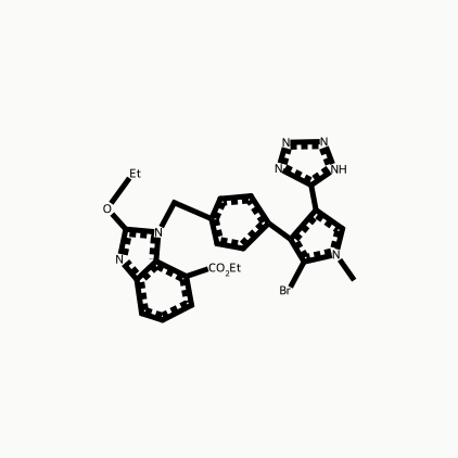 CCOC(=O)c1cccc2nc(OCC)n(Cc3ccc(-c4c(-c5nnn[nH]5)cn(C)c4Br)cc3)c12